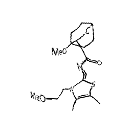 COCCn1c(C)c(C)s/c1=N\C(=O)C1CC2CCC1(OC)CC2